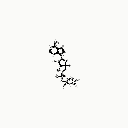 CC[C@]1(COP(=O)(O)OP(=O)(O)OP(=O)(O)O)O[C@@H](n2cnc3c(N)ncnc32)[C@@H](F)[C@H]1O